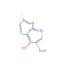 O=C(O)c1cnc2cc(I)ccc2c1O